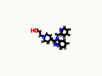 OCCN1CCC(c2nc3ccccc3n2Cc2ccccn2)CC1